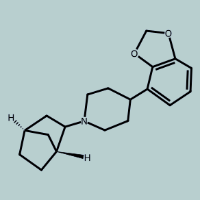 c1cc2c(c(C3CCN(C4C[C@@H]5CC[C@@H]4C5)CC3)c1)OCO2